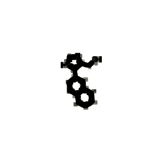 OCc1nc[nH]c1-c1ccc2ccccc2c1